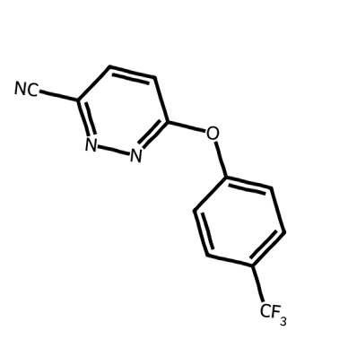 N#Cc1ccc(Oc2ccc(C(F)(F)F)cc2)nn1